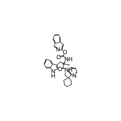 C[C@@](Cc1c[nH]c2ccccc12)(NC(=O)Oc1cc2ccccc2cn1)C(=O)NCC1(c2ccccn2)CCCCC1